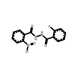 O=C(NNC(=O)c1ccccc1[N+](=O)[O-])c1ccccc1F